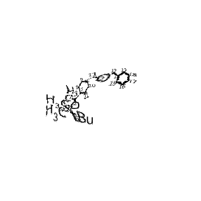 CC(O[Si](C)(C)C(C)(C)C)[C@H]1CC[C@H](COCc2ccccc2)CC1